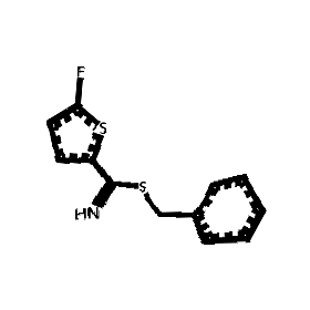 N=C(SCc1ccccc1)c1ccc(F)s1